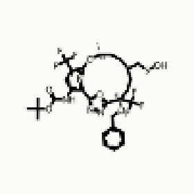 C[C@@H]1CCC(CSO)CC[C@](OCc2ccccc2)(C(F)(F)F)c2nnc(o2)-c2nc(c(C(F)(F)F)cc2NC(=O)OC(C)(C)C)O1